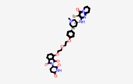 CN1C[C@H](Nc2nc3ccccn3c(=O)c2Br)C[C@H](c2ccc(OCCOCCOc3cccc4c3C(=O)N(C3CCC(=O)NC3=O)C4=O)cc2)C1